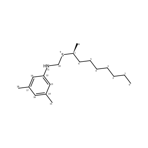 CCCCCCC[C@H](C)SCNc1cc(C)cc(C)c1